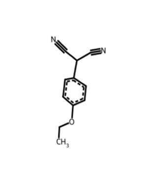 CCOc1ccc(C(C#N)C#N)cc1